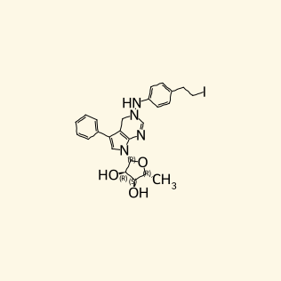 C[C@H]1O[C@@H](n2cc(-c3ccccc3)c3c2N=CN(Nc2ccc(CCI)cc2)C3)[C@H](O)[C@@H]1O